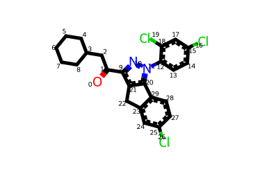 O=C(CC1CCCCC1)c1nn(-c2ccc(Cl)cc2Cl)c2c1Cc1cc(Cl)ccc1-2